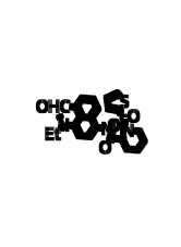 CCN(C)c1ccc(NC(=O)C2CCCCN2S(=O)(=O)c2cccs2)c2cccc(C=O)c12